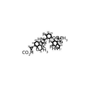 C[C@]1(c2c[nH]c(-c3cc(Oc4c(F)c(F)c5[nH]ccc5c4S(C)(=O)=O)ccc3F)n2)CCOc2c([C@H]3C[C@H]3C(=O)O)cccc21